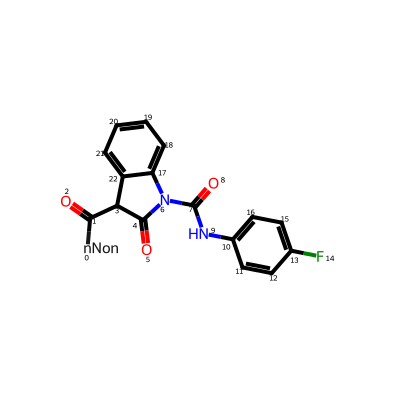 CCCCCCCCCC(=O)C1C(=O)N(C(=O)Nc2ccc(F)cc2)c2ccccc21